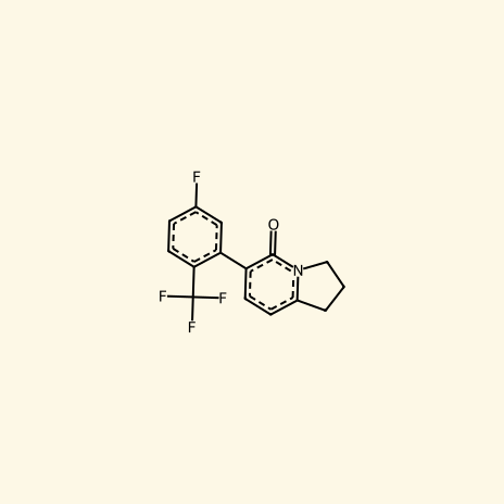 O=c1c(-c2cc(F)ccc2C(F)(F)F)ccc2n1CCC2